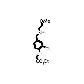 CCOC(=O)COc1ccc(CNCCOC)cc1CC